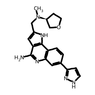 CN(Cc1cc2c(N)nc3cc(-c4cc[nH]n4)ccc3c2[nH]1)[C@H]1CCOC1